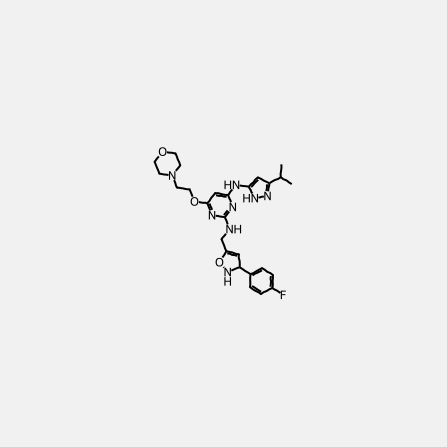 CC(C)c1cc(Nc2cc(OCCN3CCOCC3)nc(NCC3=CC(c4ccc(F)cc4)NO3)n2)[nH]n1